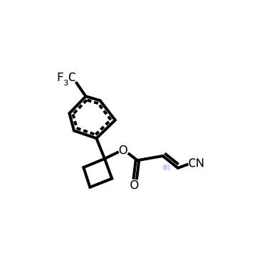 N#C/C=C/C(=O)OC1(c2ccc(C(F)(F)F)cc2)CCC1